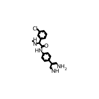 CNC(C(=O)Nc1ccc(/C(C=N)=C/N)cc1)c1cccc(Cl)c1